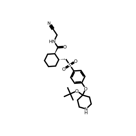 CC(C)(C)OC1(Oc2ccc(S(=O)(=O)C[C@@H]3CCCC[C@H]3C(=O)NCC#N)cc2)CCNCC1